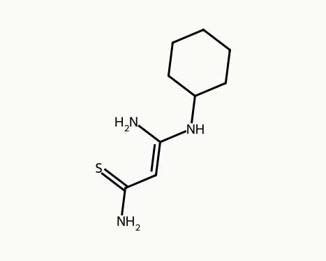 NC(=S)C=C(N)NC1CCCCC1